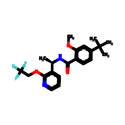 COc1cc(C(C)(C)C)ccc1C(=O)N[C@H](C)c1cccnc1OCC(F)(F)F